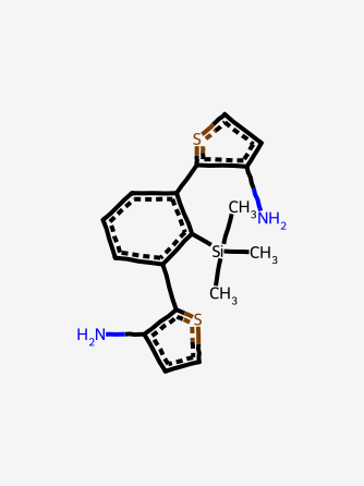 C[Si](C)(C)c1c(-c2sccc2N)cccc1-c1sccc1N